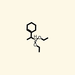 CCO[SiH](OCC)C(C)C1=CCCCC1